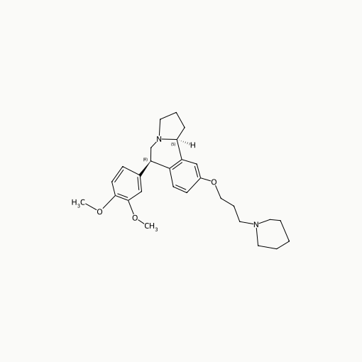 COc1ccc([C@H]2CN3CCC[C@H]3c3cc(OCCCN4CCCCC4)ccc32)cc1OC